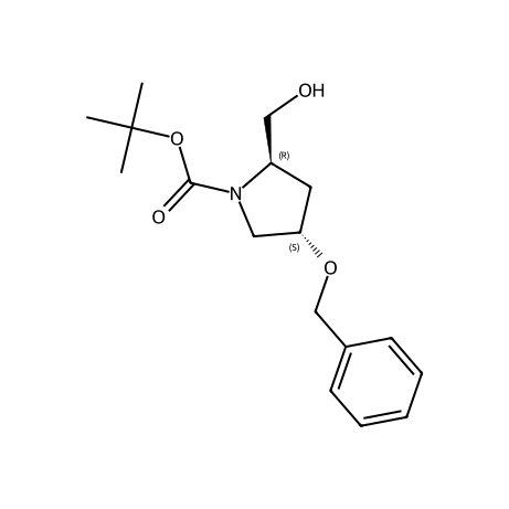 CC(C)(C)OC(=O)N1C[C@@H](OCc2ccccc2)C[C@@H]1CO